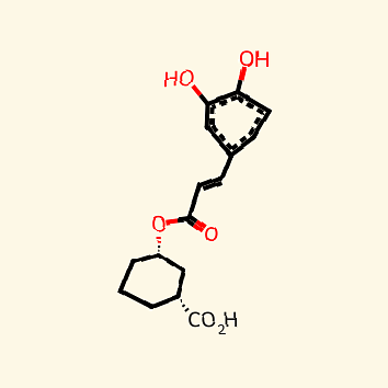 O=C(/C=C/c1ccc(O)c(O)c1)O[C@H]1CCC[C@@H](C(=O)O)C1